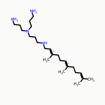 CC(C)=CCC/C(C)=C/CC/C(C)=C/CNCCCN(CCCN)CCCN